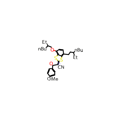 CCCCC(CC)CCc1ccc(OCC(CC)CCCC)c2c1S/C(=C(\C#N)C(=O)c1ccc(OC)cc1)S2